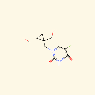 O=c1[nH]c(=O)n(C[C@]2(CO)C[C@H]2CO)cc1F